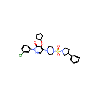 O=c1c(OC2CCCC2)c(N2CCN(S(=O)(=O)N3CCC(c4ccccc4)C3)CC2)cnn1-c1cccc(Cl)c1